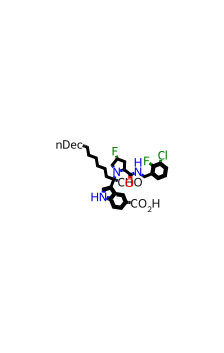 CCCCCCCCCCCCCCCCC(C=O)(c1c[nH]c2ccc(C(=O)O)cc12)N1CC(F)CC1C(=O)NCc1cccc(Cl)c1F